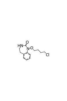 O=C1NCCc2ccccc2N1OCCCCCl